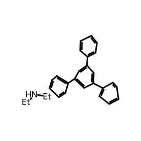 CCNCC.c1ccc(-c2cc(-c3ccccc3)cc(-c3ccccc3)c2)cc1